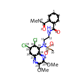 CNC(=O)c1ccccc1C(=O)NCCN(c1c(Cl)c(Cl)cc2nc(OC)c(OC)nc12)S(C)(=O)=O